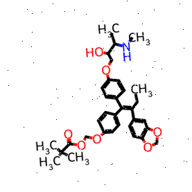 CCC(=C(c1ccc(OCOC(=O)C(C)(C)C)cc1)c1ccc(OCC(O)C(CC)NC)cc1)c1ccc2c(c1)OCO2